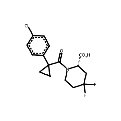 O=C(O)[C@@H]1CC(F)(F)CCN1C(=O)C1(c2ccc(Cl)cc2)CC1